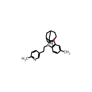 Cc1ccc2c(c1)c1c(n2CCc2ccc(C)nc2)C2CC3CC1CN(C3)C2